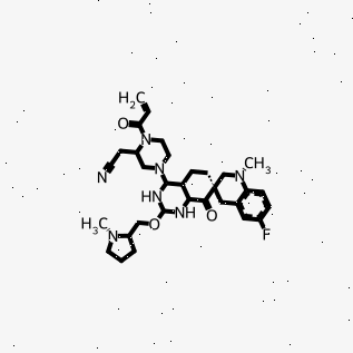 C=CC(=O)N1CCN(C2NC(OCC3CCCN3C)NC3C(=O)[C@]4(CCC32)Cc2cc(F)ccc2N(C)C4)CC1CC#N